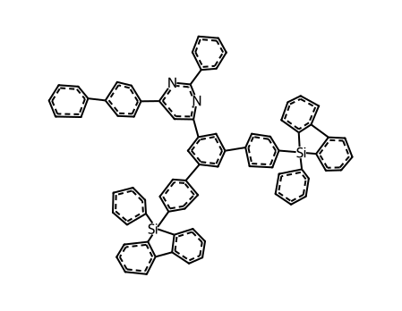 c1ccc(-c2ccc(-c3cc(-c4cc(-c5ccc([Si]6(c7ccccc7)c7ccccc7-c7ccccc76)cc5)cc(-c5ccc([Si]6(c7ccccc7)c7ccccc7-c7ccccc76)cc5)c4)nc(-c4ccccc4)n3)cc2)cc1